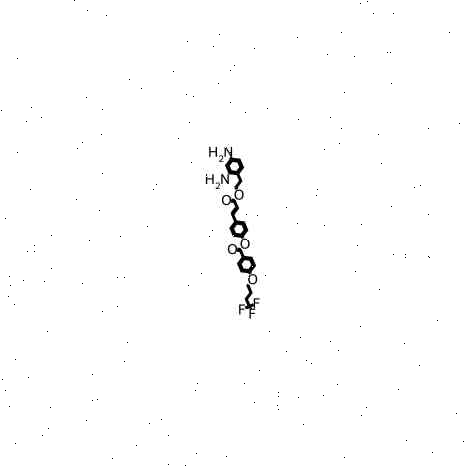 Nc1ccc(CCOC(=O)C=Cc2ccc(OC(=O)c3ccc(OCCCC(F)(F)F)cc3)cc2)c(N)c1